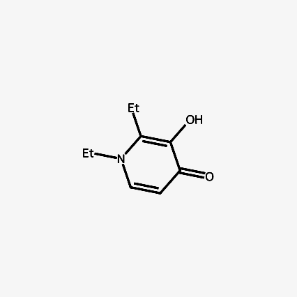 CCc1c(O)c(=O)ccn1CC